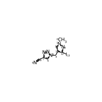 Cn1cc(Cn2cc(C#N)nn2)c(I)n1